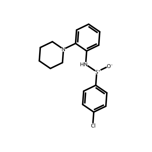 [O-][S+](Nc1ccccc1N1CCCCC1)c1ccc(Cl)cc1